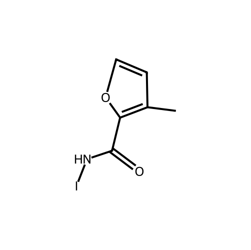 Cc1ccoc1C(=O)NI